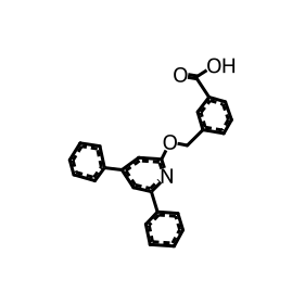 O=C(O)c1cccc(COc2cc(-c3ccccc3)cc(-c3ccccc3)n2)c1